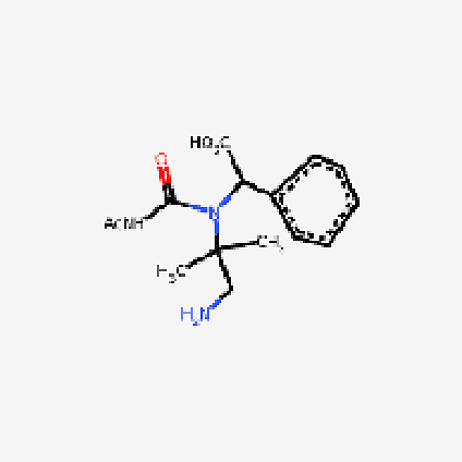 CC(=O)NC(=O)N(C(C(=O)O)c1ccccc1)C(C)(C)CN